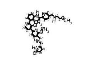 COCCNCc1ccc(C(=O)Nc2cccc(-c3nccc(-c4ccc(CNC[C@@H]5CCC(=O)N5)c(OC)n4)c3Cl)c2C)nc1